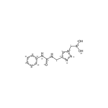 O=C(NCc1cn(CB(O)O)nn1)Nc1ccccc1